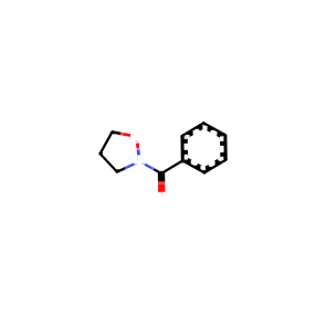 O=C(c1ccccc1)N1[CH]CCO1